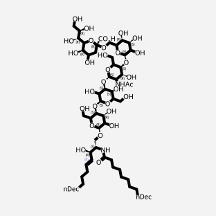 CCCCCCCCCCCCC/C=C/[C@@H](O)[C@H](CO[C@@H]1OC(CO)[C@@H](O[C@@H]2OC(CO)[C@H](O)[C@H](O[C@@H]3OC(CO)[C@@H](O[C@@H]4OC(CO[C@]5(C(=O)O)CC(O)[C@@H](O)C([C@H](O)[C@H](O)CO)O5)[C@H](O)[C@H](O)C4O)[C@H](O)C3NC(C)=O)C2O)[C@H](O)C1O)NC(=O)CCCCCCCCCCCCCCCCC